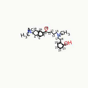 CC(=O)N(C)C1Cc2ccc(C(=O)CCCCN(C)CCc3ccccc3O)cc2C1